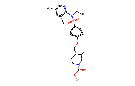 Cc1cc(C(C)C)cnc1N(CC(C)C)S(=O)(=O)c1ccc(OC[C@@H]2CCN(C(=O)OC(C)(C)C)C[C@@H]2F)cc1